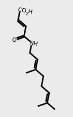 CC(C)=CCC/C(C)=C/CNC(=O)/C=C/C(=O)O